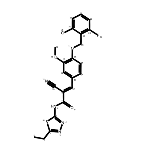 CCc1nnc(NC(=O)/C(C#N)=C/c2ccc(OCc3c(F)cccc3Cl)c(OC)c2)s1